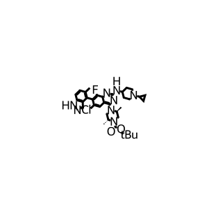 Cc1ccc2[nH]ncc2c1-c1c(Cl)cc2c(N3C[C@@H](C)N(C(=O)OC(C)(C)C)C[C@@H]3C)nc(NC3CCN(C4CC4)CC3)nc2c1F